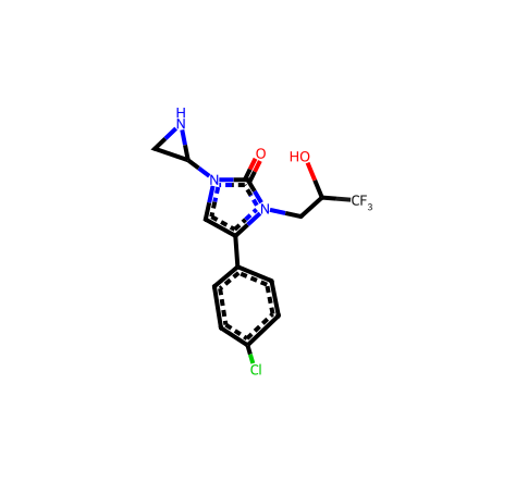 O=c1n(C2CN2)cc(-c2ccc(Cl)cc2)n1CC(O)C(F)(F)F